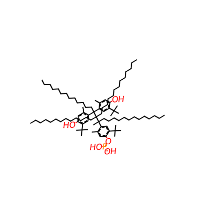 CCCCCCCCCCCCCC(C)(c1cc(C(C)(C)C)c(OP(O)O)cc1C)C(CCCCCCCCCCCCC)(CCCCCCCCCCCCC)C(CCCCCCCCCCCCC)(c1cc(C(C)(C)C)c(O)cc1C)c1cc(C(C)(C)C)c(O)cc1C